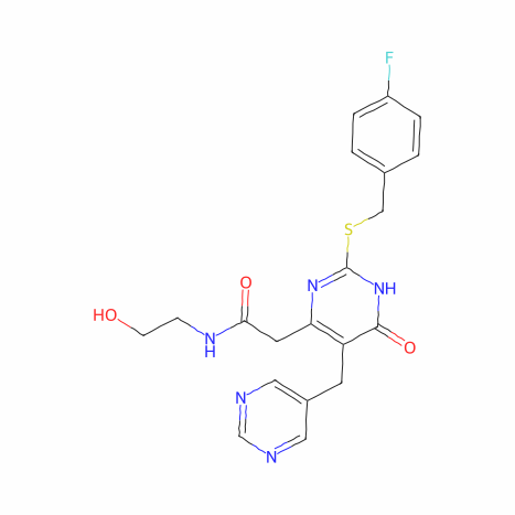 O=C(Cc1nc(SCc2ccc(F)cc2)[nH]c(=O)c1Cc1cncnc1)NCCO